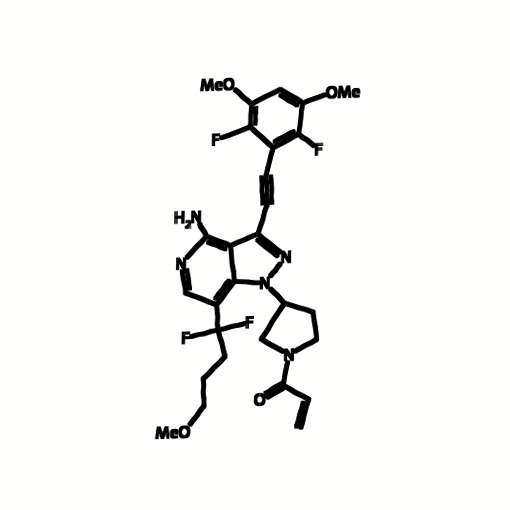 C=CC(=O)N1CCC(n2nc(C#Cc3c(F)c(OC)cc(OC)c3F)c3c(N)ncc(C(F)(F)CCCOC)c32)C1